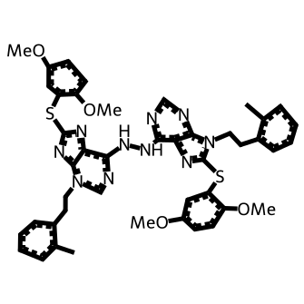 COc1ccc(OC)c(Sc2nc3c(NNc4ncnc5c4nc(Sc4cc(OC)ccc4OC)n5CCc4ccccc4C)ncn(CCc4ccccc4C)c-3n2)c1